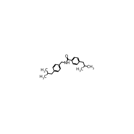 CC(C)Cc1ccc(CNC(=O)c2ccc(CC(C)C)cc2)cc1